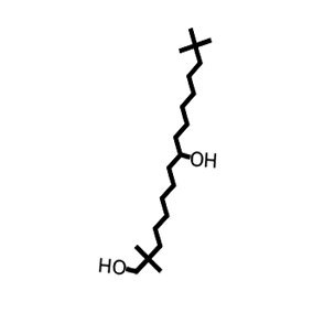 CC(C)(C)CCCCCCC(O)CCCCCCC(C)(C)CO